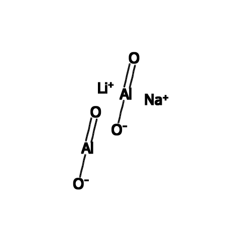 [Li+].[Na+].[O]=[Al][O-].[O]=[Al][O-]